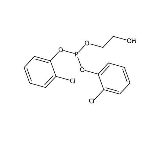 OCCOP(Oc1ccccc1Cl)Oc1ccccc1Cl